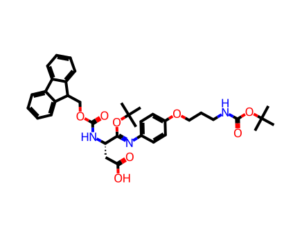 CC(C)(C)OC(=O)NCCCOc1ccc(N=C(OC(C)(C)C)[C@H](CC(=O)O)NC(=O)OCC2c3ccccc3-c3ccccc32)cc1